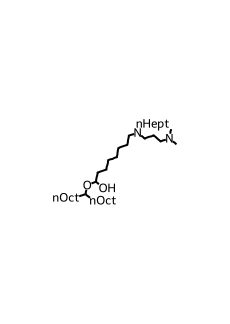 CCCCCCCCC(CCCCCCCC)OC(O)CCCCCCCN(CCCCCCC)CCCN(C)C